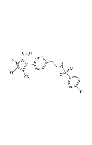 CCc1c(C#N)c(-c2ccc(CCNS(=O)(=O)c3ccc(F)cc3)cc2)c(C(=O)O)n1C